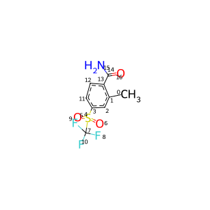 Cc1cc(S(=O)(=O)C(F)(F)F)ccc1C(N)=O